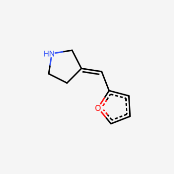 C(=C1CCNC1)c1ccco1